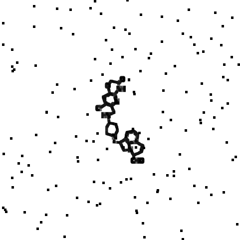 O=CC1C=Cc2cccc3c2N1CC3CN1CCC(NCc2nc3c(cc2Cl)OCC(=O)N3)CC1